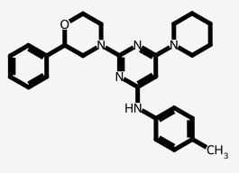 Cc1ccc(Nc2cc(N3CCCCC3)nc(N3CCOC(c4ccccc4)C3)n2)cc1